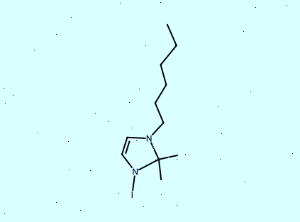 CCCCCCN1C=CN(I)C1(C)C